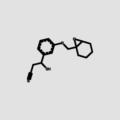 N#CCC(O)c1cccc(OCC23CCCCC2O3)c1